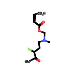 CN(CCC(F)C(=O)C(C)(C)C)COC(=O)/C=C\C(=O)O